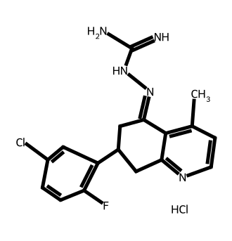 Cc1ccnc2c1C(=NNC(=N)N)CC(c1cc(Cl)ccc1F)C2.Cl